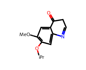 COc1cc2c(cc1OC(C)C)N=CCC2=O